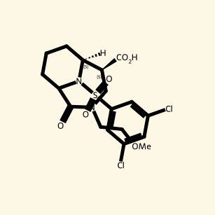 COCCN1C[C@H](C(=O)O)[C@@H]2CCCC(C1=O)N2S(=O)(=O)c1cc(Cl)cc(Cl)c1